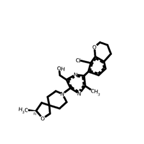 Cc1nc(N2CCC3(CC2)CO[C@@H](C)C3)c(CO)nc1-c1ccc2c(c1Cl)OCCC2